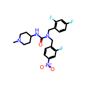 CN1CCC(NC(=O)N(Cc2ccc(F)cc2F)Cc2ccc([N+](=O)[O-])cc2F)CC1